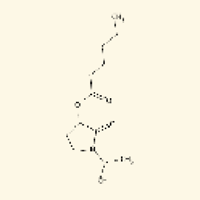 CCCCCC(=O)O[C@H]1CCN(C(C)C)C1=O